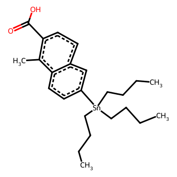 CCC[CH2][Sn]([CH2]CCC)([CH2]CCC)[c]1ccc2c(C)c(C(=O)O)ccc2c1